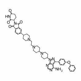 Nc1ncnc2c1c(-c1ccc(Oc3ccccc3)cc1)nn2C1CCN(C2CCN(CCN3CCC(c4ccc5c(c4)C(=O)N(C4CCC(=O)NC4=O)C5=O)CC3)CC2)CC1